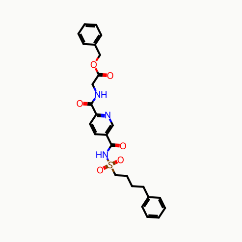 O=C(CNC(=O)c1ccc(C(=O)NS(=O)(=O)CCCCc2ccccc2)cn1)OCc1ccccc1